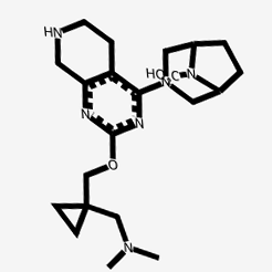 CN(C)CC1(COc2nc3c(c(N4CC5CCC(C4)N5C(=O)O)n2)CCNC3)CC1